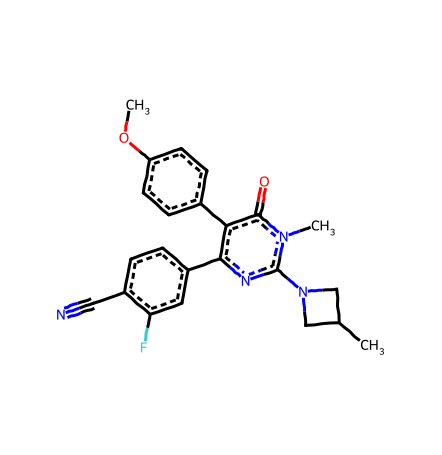 COc1ccc(-c2c(-c3ccc(C#N)c(F)c3)nc(N3CC(C)C3)n(C)c2=O)cc1